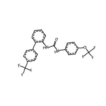 O=C(Nc1ccc(OC(F)(F)F)cc1)Nc1ccccc1-c1ccc(C(F)(F)F)cc1